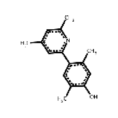 Cc1cc(C)nc(-c2cc(C)c(O)cc2C)c1